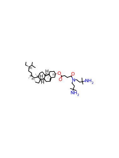 CC[C@H](CC[C@@H](C)[C@H]1CC[C@H]2[C@@H]3CC=C4C[C@@H](OC(=O)CCC(=O)N(CCC(C)(C)N)CCC(C)(C)N)CC[C@]4(C)[C@H]3CC[C@]12C)C(C)C